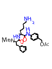 CNC(Cc1ccccc1)C(=O)N[C@@H](CCCCN)C(=O)Nc1ccc(COC(C)=O)cc1